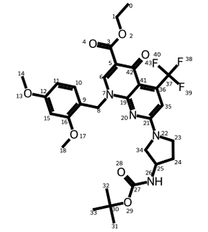 CCOC(=O)c1cn(Cc2ccc(OC)cc2OC)c2nc(N3CCC(NC(=O)OC(C)(C)C)C3)cc(C(F)(F)F)c2c1=O